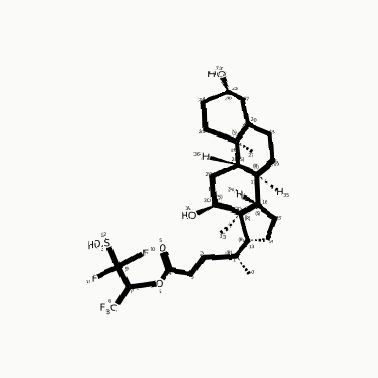 C[C@H](CCC(=O)OC(C(F)(F)F)C(F)(F)S(=O)(=O)O)[C@H]1CC[C@H]2[C@@H]3CCC4C[C@H](O)CC[C@]4(C)[C@H]3C[C@H](O)[C@]12C